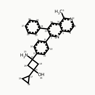 Cc1nccc2nc(-c3ccc(C4(N)CC(O)(C5CC5)C4)cc3)c(-c3ccccc3)cc12